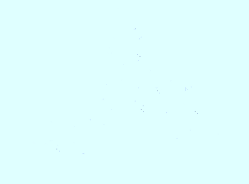 CC(C)c1ccc2c(Nc3cc(C(=O)N(F)C(C)c4ccccc4)ccc3Sc3ccc(NC(=O)O)cc3)ncnc2n1